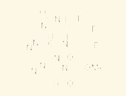 CO[C@@H]1COC(=O)N(C2c3ccnn3CC(C)N2C(=O)Nc2cc(F)c(F)c(F)c2)C1.NC(=O)N1CCn2nccc2C1